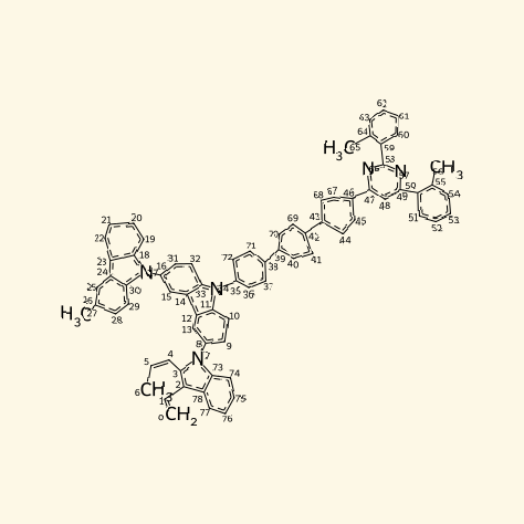 C=Cc1c(/C=C\C)n(-c2ccc3c(c2)c2cc(-n4c5ccccc5c5cc(C)ccc54)ccc2n3-c2ccc(-c3ccc(-c4ccc(-c5cc(-c6ccccc6C)nc(-c6ccccc6C)n5)cc4)cc3)cc2)c2ccccc12